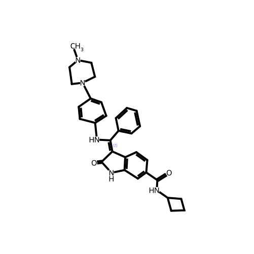 CN1CCN(c2ccc(N/C(=C3\C(=O)Nc4cc(C(=O)NC5CCC5)ccc43)c3ccccc3)cc2)CC1